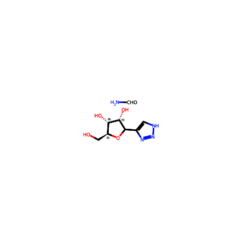 NC=O.OC[C@@H]1OC(c2c[nH]nn2)[C@@H](O)[C@H]1O